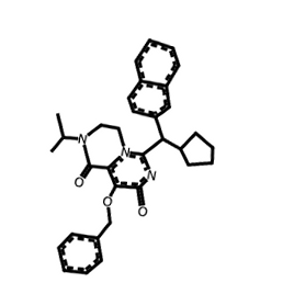 CC(C)N1CCn2c(C(c3ccc4ccccc4c3)C3CCCC3)nc(=O)c(OCc3ccccc3)c2C1=O